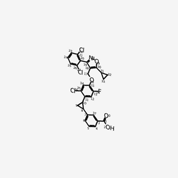 O=C(O)c1cccc(C2CC2c2cc(F)c(OCc3c(-c4c(Cl)cccc4Cl)noc3C3CC3)cc2Cl)c1